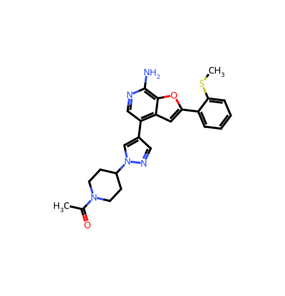 CSc1ccccc1-c1cc2c(-c3cnn(C4CCN(C(C)=O)CC4)c3)cnc(N)c2o1